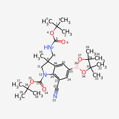 CC(C)(C)OC(=O)NCC1(C)CN(C(=O)OC(C)(C)C)c2c(C#N)cc(B3OC(C)(C)C(C)(C)O3)cc21